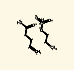 C=CCCC(=O)O.CCCO[SH](=O)=O